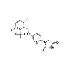 O=C1CN(c2ccc(OCc3c(Cl)ccc(F)c3C(F)(F)F)cn2)C(=O)N1